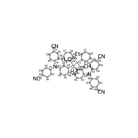 C=C(C)C(C(=C)CC)(c1ccccc1)C1(c2ccccc2)c2cc(N(c3ccc(C#N)cc3)c3ccc(C#N)cc3)ccc2-c2ccc(N(c3ccc(C#N)cc3)c3ccc(C#N)cc3)cc21